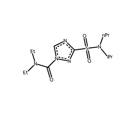 CCCN(C(C)C)S(=O)(=O)c1ncn(C(=O)N(CC)CC)n1